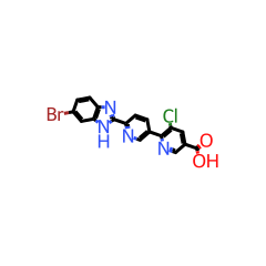 O=C(O)c1cnc(-c2ccc(-c3nc4ccc(Br)cc4[nH]3)nc2)c(Cl)c1